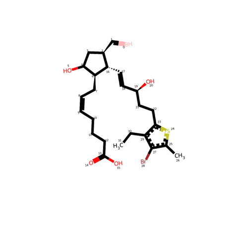 B=C[C@@H]1CC(O)[C@H](C/C=C\CCCC(=O)O)[C@H]1/C=C/[C@@H](O)CCc1sc(C)c(Br)c1CC